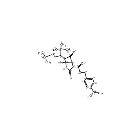 C[SiH](C)OCC(C1C(=O)N2C(C(=O)OCc3ccc([N+](=O)[O-])cc3)C(=S)S[C@H]12)C(C)(C)C